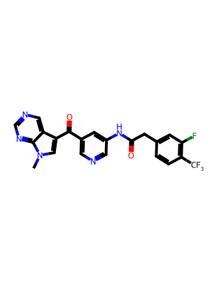 Cn1cc(C(=O)c2cncc(NC(=O)Cc3ccc(C(F)(F)F)c(F)c3)c2)c2cncnc21